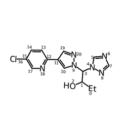 CCC(O)C(n1cncn1)n1cc(-c2ccc(Cl)cn2)cn1